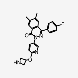 Cc1cc2c(-c3ccc(F)cc3)nn(-c3ccc(OC4CNC4)nc3)c(=O)c2cc1C